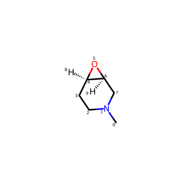 CN1CC[C@H]2O[C@H]2C1